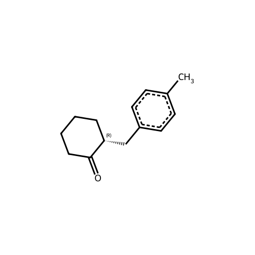 Cc1ccc(C[C@H]2CCCCC2=O)cc1